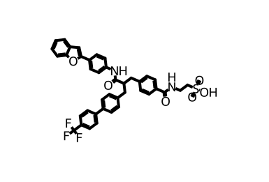 O=C(NCCS(=O)(=O)O)c1ccc(CC(Cc2ccc(-c3ccc(C(F)(F)F)cc3)cc2)C(=O)Nc2ccc(-c3cc4ccccc4o3)cc2)cc1